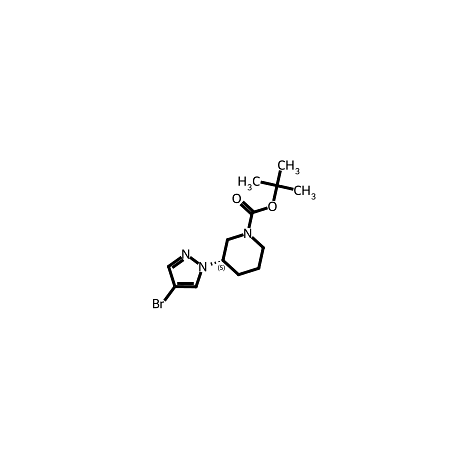 CC(C)(C)OC(=O)N1CCC[C@H](n2cc(Br)cn2)C1